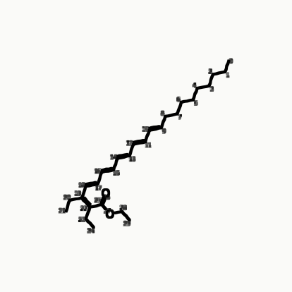 CCCCCCCCCC=CC=CC=CC=CC=CC(CC)=C(CC)C(=O)OCC